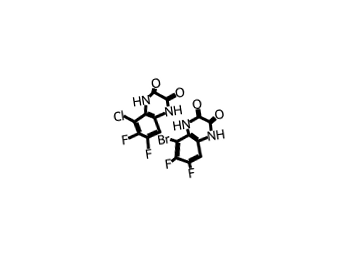 O=c1[nH]c2cc(F)c(F)c(Br)c2[nH]c1=O.O=c1[nH]c2cc(F)c(F)c(Cl)c2[nH]c1=O